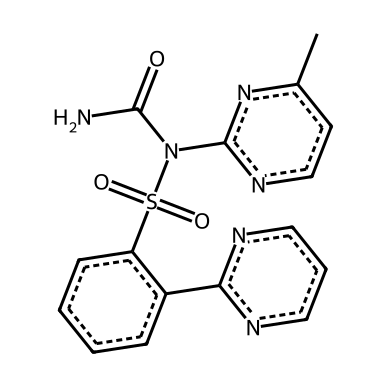 Cc1ccnc(N(C(N)=O)S(=O)(=O)c2ccccc2-c2ncccn2)n1